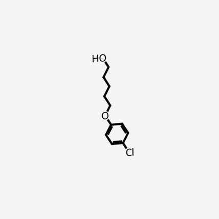 OCCCCCOc1ccc(Cl)cc1